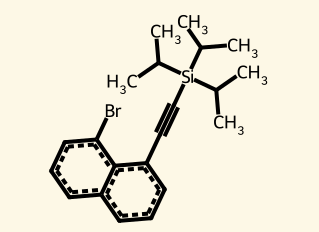 CC(C)[Si](C#Cc1cccc2cccc(Br)c12)(C(C)C)C(C)C